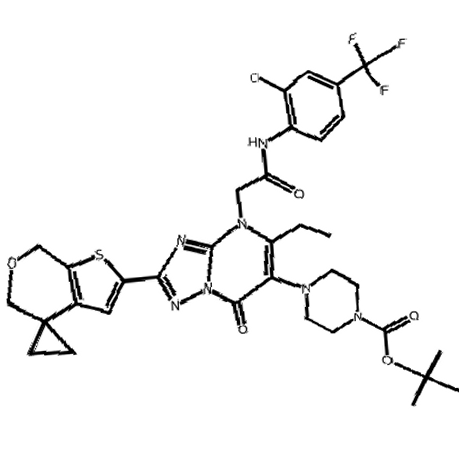 CCc1c(N2CCN(C(=O)OC(C)(C)C)CC2)c(=O)n2nc(-c3cc4c(s3)COCC43CC3)nc2n1CC(=O)Nc1ccc(C(F)(F)F)cc1Cl